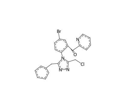 O=C(c1ccccn1)c1cc(Br)ccc1-n1c(CCl)nnc1Cc1ccccc1